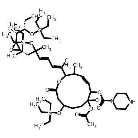 CC[C@H](O[Si](CC)(CC)CC)[C@@H](C)[C@@H]1O[C@H]1CC(C)(/C=C/C=C(\C)C1OC(=O)CC(O[Si](CC)(CC)CC)CCC(C)(OC(C)=O)C(OC(=O)N2CCNCC2)C=CC1C)O[Si](CC)(CC)CC